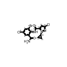 NC(=O)c1cc(Cl)cc(Br)c1NC(=O)c1cc(Cl)nn1C1CC1